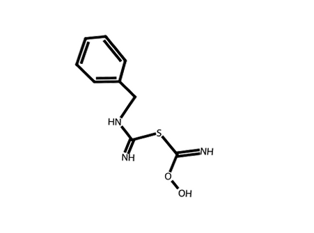 N=C(NCc1ccccc1)SC(=N)OO